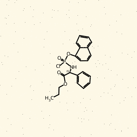 CCCOC(=O)[C@@H](NP(=O)(Cl)Oc1cccc2ccccc12)c1ccccc1